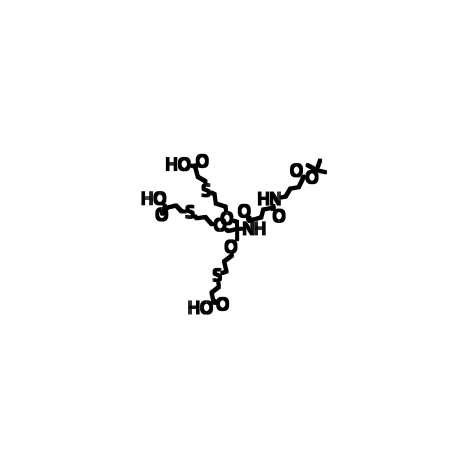 CC(C)(C)OC(=O)CCCNC(=O)CCC(=O)NC(COCCCSCCC(=O)O)(COCCCSCCC(=O)O)COCCCSCCC(=O)O